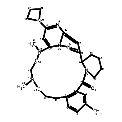 Cc1ccc2c(c1)C(=O)N1CCCCC1c1cc3nc(N4CCC4)cc(n3n1)N(C)CCN(C)CCC2